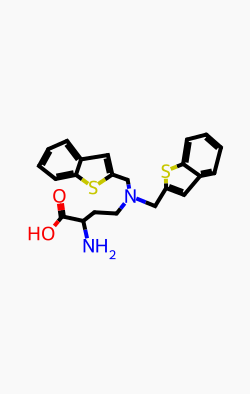 NC(CCN(Cc1cc2ccccc2s1)Cc1cc2ccccc2s1)C(=O)O